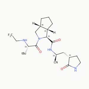 CC(C)(C)[C@H](NCC(F)(F)F)C(=O)N1C[C@@H]2CCC[C@@H]2[C@H]1C(=O)N[C@H](C#N)C[C@@H]1CCNC1=O